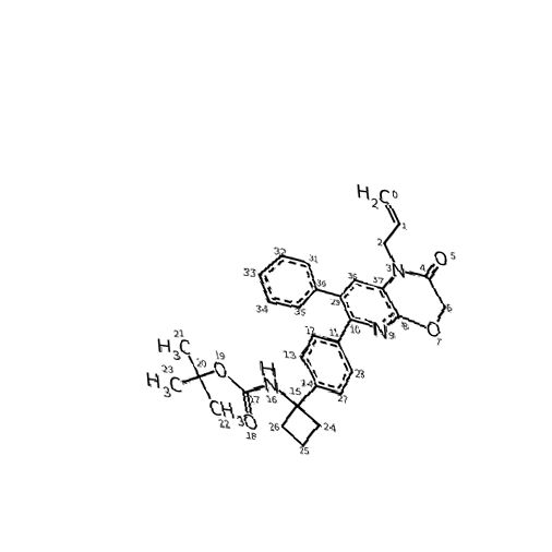 C=CCN1C(=O)COc2nc(-c3ccc(C4(NC(=O)OC(C)(C)C)CCC4)cc3)c(-c3ccccc3)cc21